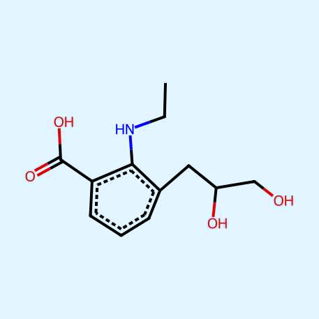 CCNc1c(CC(O)CO)cccc1C(=O)O